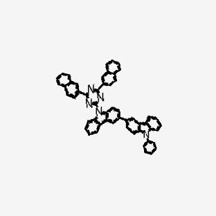 c1ccc(-n2c3ccccc3c3cc(-c4ccc5c(c4)c4ccccc4n5-c4nc(-c5ccc6ccccc6c5)nc(-c5ccc6ccccc6c5)n4)ccc32)cc1